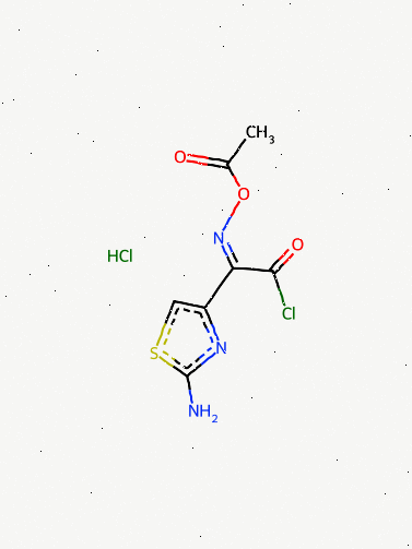 CC(=O)ON=C(C(=O)Cl)c1csc(N)n1.Cl